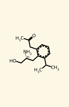 CC(=O)Cc1cccc(C(C)C)c1C[C@@H](N)CO